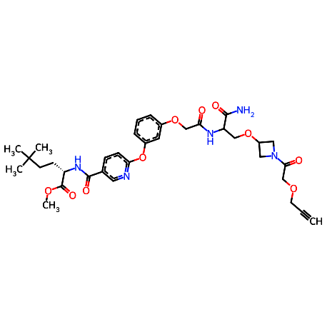 C#CCOCC(=O)N1CC(OCC(NC(=O)COc2cccc(Oc3ccc(C(=O)N[C@@H](CCC(C)(C)C)C(=O)OC)cn3)c2)C(N)=O)C1